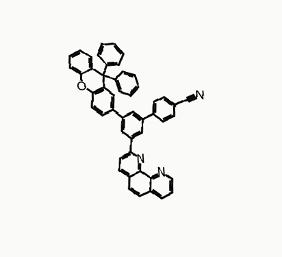 N#Cc1ccc(-c2cc(-c3ccc4c(c3)C(c3ccccc3)(c3ccccc3)c3ccccc3O4)cc(-c3ccc4ccc5cccnc5c4n3)c2)cc1